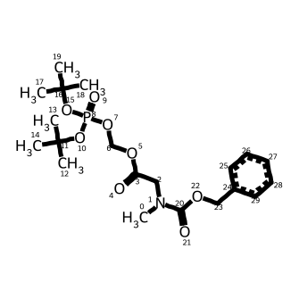 CN(CC(=O)OCOP(=O)(OC(C)(C)C)OC(C)(C)C)C(=O)OCc1ccccc1